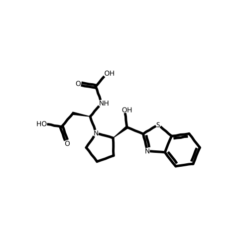 O=C(O)C[C@@H](NC(=O)O)N1CCC[C@@H]1C(O)c1nc2ccccc2s1